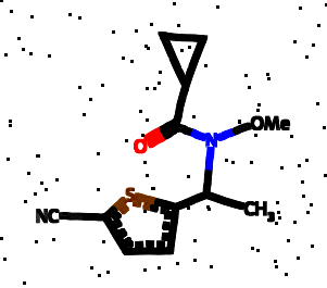 CON(C(=O)C1CC1)C(C)c1ccc(C#N)s1